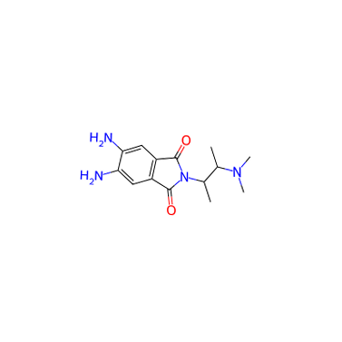 CC(C(C)N1C(=O)c2cc(N)c(N)cc2C1=O)N(C)C